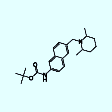 CC1CCCC(C)N1Cc1ccc2cc(NC(=O)OC(C)(C)C)ccc2c1